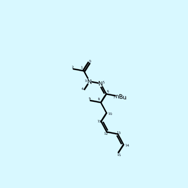 C=C(C)N(C)/N=C(/CCCC)C(C)C/C=C\C=C/C